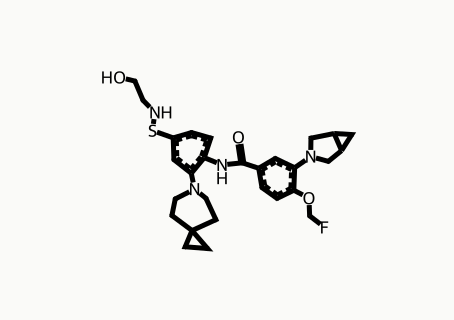 O=C(Nc1ccc(SNCCO)cc1N1CCC2(CC1)CC2)c1ccc(OCF)c(N2CC3CC3C2)c1